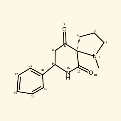 CN1CCC[C@]12C(=O)CC(c1ccccc1)NC2=O